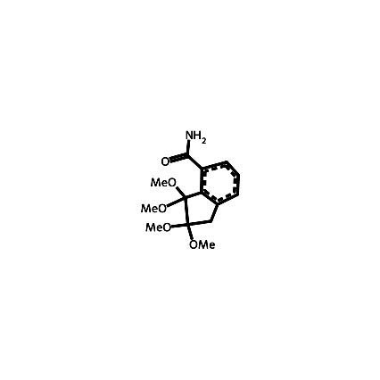 COC1(OC)Cc2cccc(C(N)=O)c2C1(OC)OC